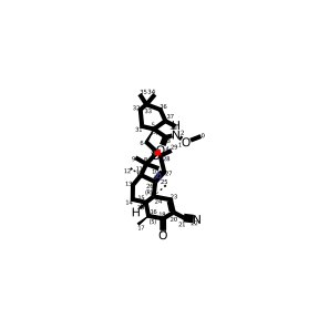 CONC(=O)[C@]1(CCC(C)(C)[C@]2(C)CC[C@H]3[C@H](C)C(=O)C(C#N)=C[C@]3(C)/C2=C/C(C)=O)CCC(C)(C)CC1C